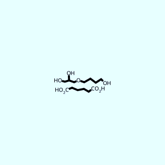 O=C(O)CCCCC(=O)O.OCCCCOCC(O)CO